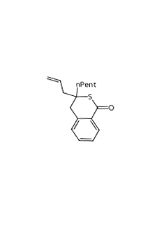 C=CCC1(CCCCC)Cc2ccccc2C(=O)S1